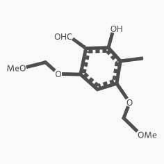 COCOc1cc(OCOC)c(C=O)c(O)c1C